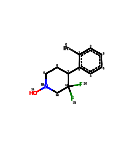 CC(C)c1ccccc1C1CCN(O)CC1(F)F